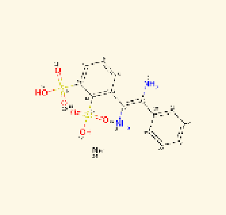 NC(=C(N)c1cccc(S(=O)(=O)O)c1S(=O)(=O)O)c1ccccc1.[Na]